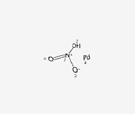 O=[N+]([O-])O.[Pd]